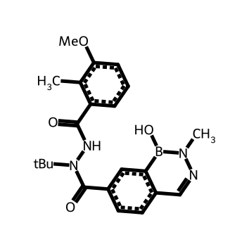 COc1cccc(C(=O)NN(C(=O)c2ccc3c(c2)B(O)N(C)N=C3)C(C)(C)C)c1C